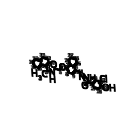 CC(NC(=O)COc1ccc(/C=N/NC(=O)c2ccc(O)c(Cl)c2)c2ccccc12)c1cccc2ccccc12